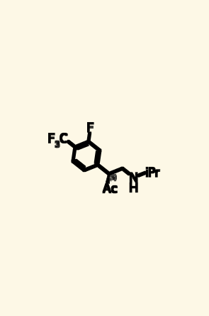 CC(=O)[C@H](CNC(C)C)c1ccc(C(F)(F)F)c(F)c1